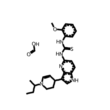 CCC(C)N1C=CC(c2c[nH]c3ccc(NC(=S)Nc4ccccc4OC)nc23)CC1.O=CO